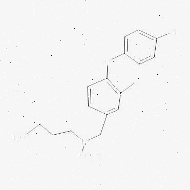 O=C(O)N(CCCO)Cc1ccc(Oc2ccc(Cl)cc2)c(F)c1